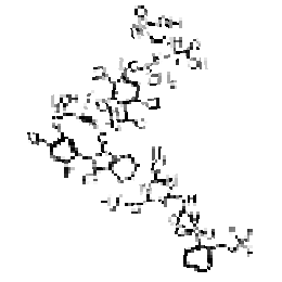 C#CC(C)Oc1cc(N2C(=O)C3=C(CCCC3)C2=O)c(F)cc1Cl.COc1c(Cl)ccc(Cl)c1C(=O)O.COc1nc(C)nc(NC(=O)NS(=O)(=O)c2ccccc2CCC(F)(F)F)n1.C[S+](C)C.O=C(O)CNCP(=O)([O-])O